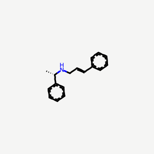 C[C@H](NC/C=C/c1ccccc1)c1ccccc1